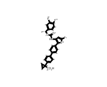 C[C@@H](OC(=O)Nc1cc(F)sc1-c1ccc(-c2ccc(C3(C(=O)O)CC3)cc2)cc1)c1ccc(F)c(F)c1